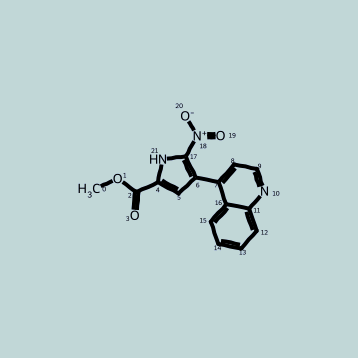 COC(=O)c1cc(-c2ccnc3ccccc23)c([N+](=O)[O-])[nH]1